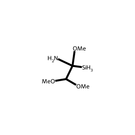 COC(OC)C(N)([SiH3])OC